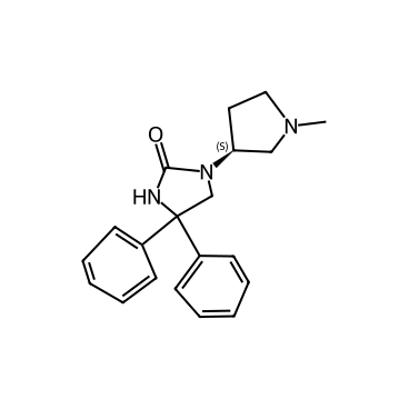 CN1CC[C@H](N2CC(c3ccccc3)(c3ccccc3)NC2=O)C1